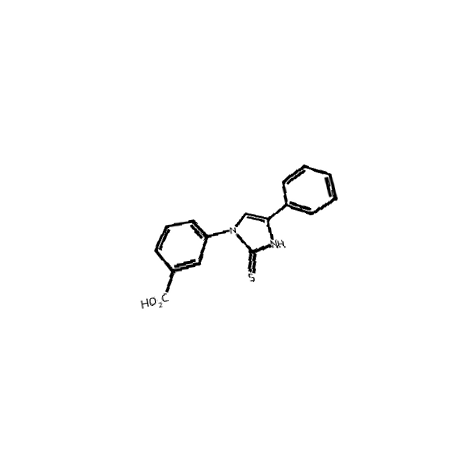 O=C(O)c1cccc(-n2cc(-c3ccccc3)[nH]c2=S)c1